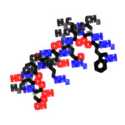 CC[C@H](C)[C@H](NC(=O)[C@H](CC(C)C)NC(=O)[C@@H](N)Cc1c[nH]c2ccccc12)C(=O)N[C@@H](CCC(N)=O)C(=O)N[C@H](C(=O)N[C@@H](CCCCN)C(=O)N[C@H](C(=O)N[C@H](C(=O)N[C@@H](CC(=O)O)C(=O)O)[C@@H](C)O)[C@@H](C)CC)[C@@H](C)O